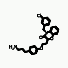 NCCCc1ccc(OCCC2Oc3ccccc3N(Cc3cccc(Cl)c3)C2=O)cc1